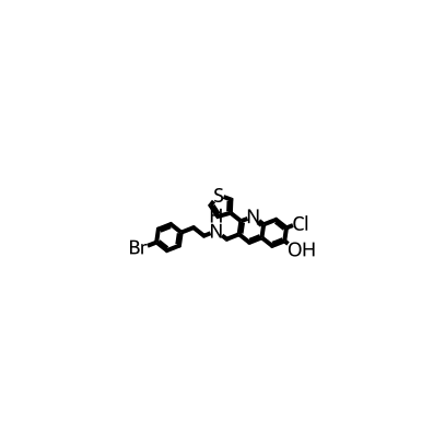 Oc1cc2cc(CNCCc3ccc(Br)cc3)c(-c3ccsc3)nc2cc1Cl